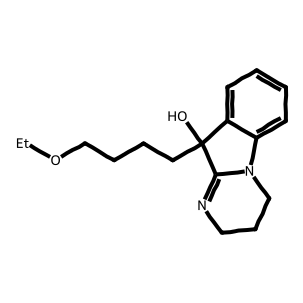 CCOCCCCC1(O)C2=NCCCN2c2ccccc21